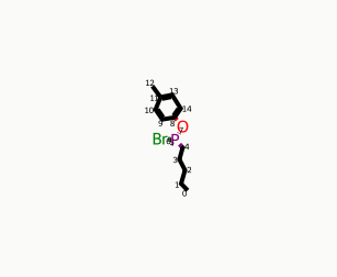 CCCCCP(Br)Oc1ccc(C)cc1